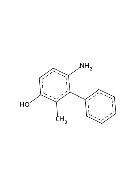 Cc1c(O)ccc(N)c1-c1ccccc1